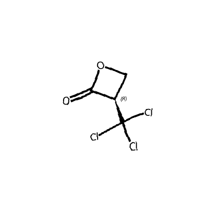 O=C1OC[C@H]1C(Cl)(Cl)Cl